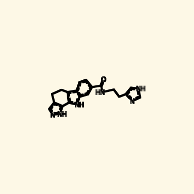 O=C(NCCc1c[nH]cn1)c1ccc2c3c([nH]c2c1)-c1[nH]ncc1CC3